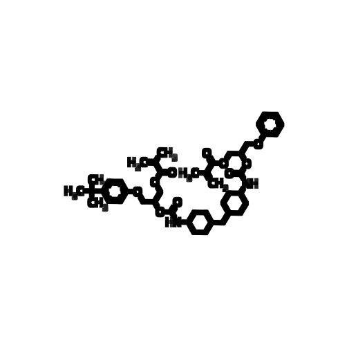 C=C(C)C(=O)OCC(COc1ccccc1)OC(=O)NC1CCC(CC2CCC(NC(=O)OC(COC(=O)C(=C)C)COc3ccc(C(C)(C)C)cc3)CC2)CC1